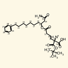 CC(C)(C)OC(=O)C(N)(CCCC(=O)O[C@@H](CCCCCCCc1ccccc1)CC(N)=O)C(=O)O